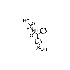 CB(O)N1CCC(=C(C(=O)NNC(=O)CO)c2ccccc2)CC1